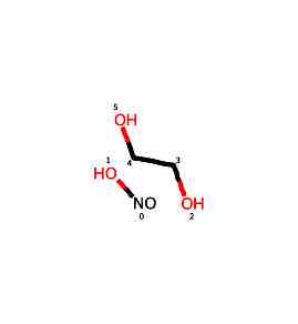 O=NO.OCCO